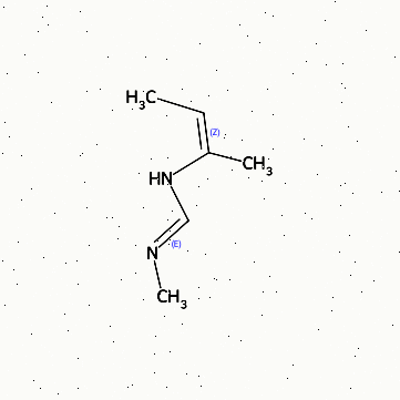 C/C=C(/C)N/C=N/C